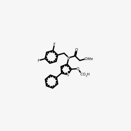 COCC(=O)N(Cc1ccc(F)cc1F)c1cc(-c2ccccc2)sc1OC(=O)O